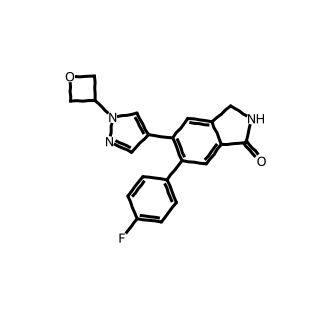 O=C1NCc2cc(-c3cnn(C4COC4)c3)c(-c3ccc(F)cc3)cc21